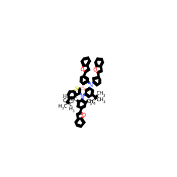 Cc1cc(-c2cc3ccccc3o2)cc(C)c1N1c2cc(C(C)(C)C)cc3c2B(c2ccc(-c4cc5ccccc5o4)cc2N3c2cccc(-c3cc4ccccc4o3)c2)c2sc3ccc(C(C)(C)C)cc3c21